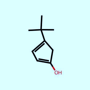 CC(C)(C)C1=CC=C(O)C1